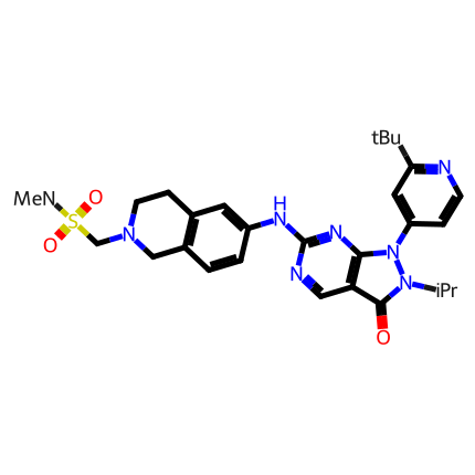 CNS(=O)(=O)CN1CCc2cc(Nc3ncc4c(=O)n(C(C)C)n(-c5ccnc(C(C)(C)C)c5)c4n3)ccc2C1